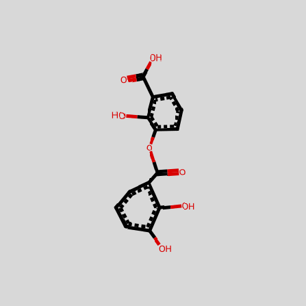 O=C(Oc1cccc(C(=O)O)c1O)c1cccc(O)c1O